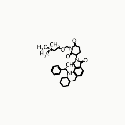 C[C@H](N[C@H]1CCCC[C@@H]1Cc1ccc2c(c1)CN(C1CCC(=O)N(COCC[Si](C)(C)C)C1=O)C2=O)c1ccccc1